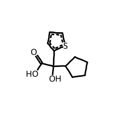 O=C(O)C(O)(c1cccs1)C1CCCC1